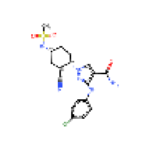 CS(=O)(=O)N[C@@H]1CC[C@H](n2cc(C(N)=O)c(Nc3ccc(Cl)cc3)n2)[C@@H](C#N)C1